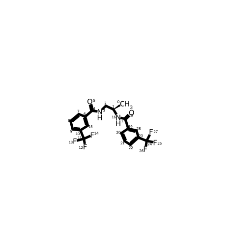 C[C@H](CNC(=O)c1cccc(C(F)(F)F)c1)NC(=O)c1cccc(C(F)(F)F)c1